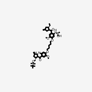 C=C1CC(C(=O)c2cc(OC)c(OCCCCCOc3cc(NB(C)O)c(C(=O)C4CC(=C)C[C@H]4CC)cc3OC)cc2N)[C@H](CO[Si](C)(C)C(C)(C)C)C1